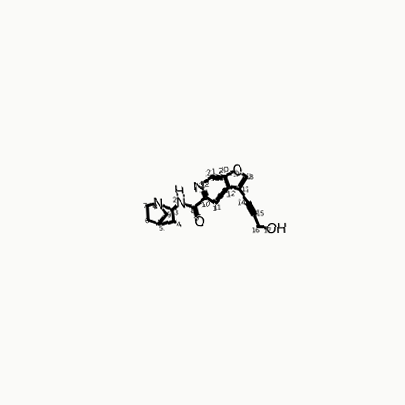 O=C(NC1CC2CCN1C2)c1cc2c(C#CCO)coc2cn1